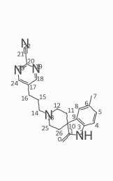 C=C1Nc2ccc(C)cc2C12CCN(CCCc1cnc(C#N)nc1)CC2